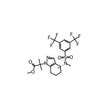 COC(=O)C(C)(C)n1ncc2c1CCC[C@H]2N(C)S(=O)(=O)c1cc(C(F)(F)F)cc(C(F)(F)F)c1